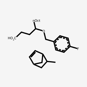 CC1CC2C=CC1C2.CCCCCCCCC(CCC(=O)O)OCc1ccc(F)cc1